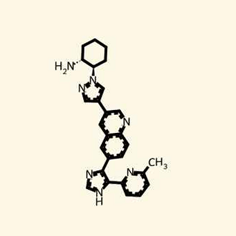 Cc1cccc(-c2[nH]cnc2-c2ccc3ncc(-c4cnn([C@@H]5CCCC[C@H]5N)c4)cc3c2)n1